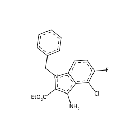 CCOC(=O)c1c(N)c2c(Cl)c(F)ccc2n1Cc1ccccc1